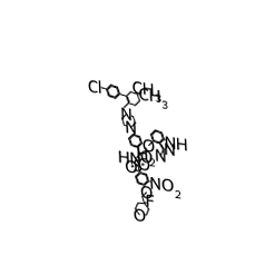 CC1(C)CCC(CN2CCN(c3ccc(C(=O)NS(=O)(=O)c4ccc(OCC5(F)CCOCC5)c([N+](=O)[O-])c4)c(Oc4cccc5[nH]nc(N)c45)c3)CC2)=C(c2ccc(Cl)cc2)C1